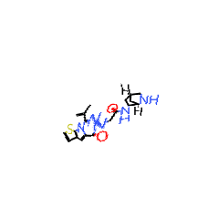 CC(C)c1nn(CC(=O)NC2C[C@H]3CN[C@@H]2C3)c(=O)c2cc3ccsc3n12